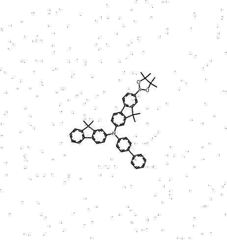 CC1(C)c2ccccc2-c2ccc(N(c3ccc(-c4ccccc4)cc3)c3ccc4c(c3)C(C)(C)c3cc(B5OC(C)(C)C(C)(C)O5)ccc3-4)cc21